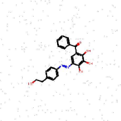 O=C(c1ccccc1)c1cc(N=Nc2ccc(CCO)cc2)c(O)c(O)c1O